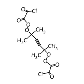 CC(C)(C#CC(C)(C)OOC(=O)C(=O)Cl)OOC(=O)C(=O)Cl